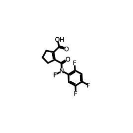 O=C(O)C1=C(C(=O)N(F)c2cc(F)c(F)cc2F)CCC1